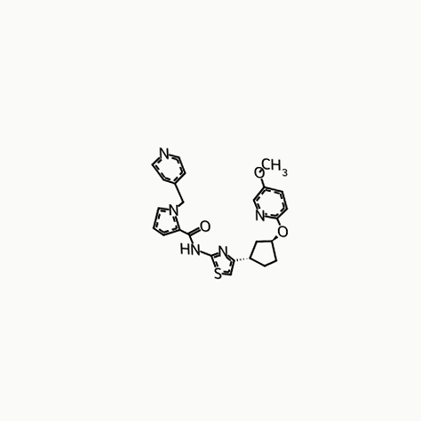 COc1ccc(O[C@H]2CC[C@H](c3csc(NC(=O)c4cccn4Cc4ccncc4)n3)C2)nc1